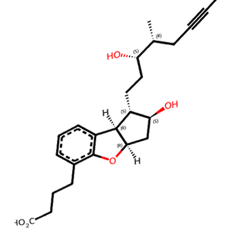 CC#CC[C@@H](C)[C@@H](O)CC[C@H]1[C@@H]2c3cccc(CCCC(=O)O)c3O[C@@H]2C[C@@H]1O